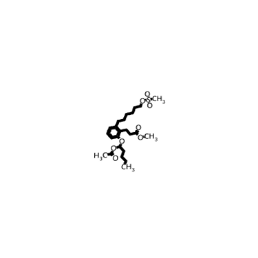 CCCCC(OC(C)=O)Oc1cccc(CCCCCCOS(C)(=O)=O)c1CCC(=O)OC